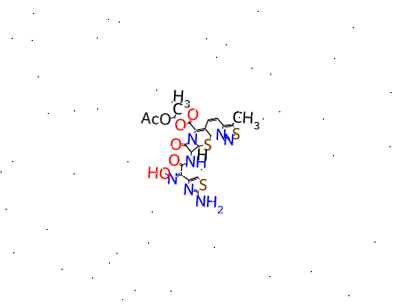 CC(=O)OC(C)OC(=O)C1=C(/C=C\c2nnsc2C)CS[C@H]2C(NC(=O)/C(=N\O)c3csc(N)n3)C(=O)N12